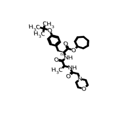 CC(NC(=O)CN1CCOCC1)C(=O)N[C@@H](Cc1ccc(OC(C)(C)C)cc1)C(=O)OC1CCCCCC1